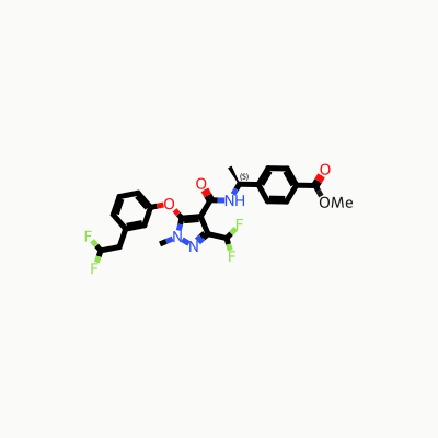 COC(=O)c1ccc([C@H](C)NC(=O)c2c(C(F)F)nn(C)c2Oc2cccc(CC(F)F)c2)cc1